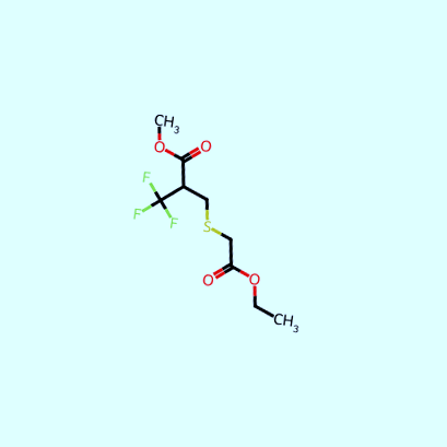 CCOC(=O)CSCC(C(=O)OC)C(F)(F)F